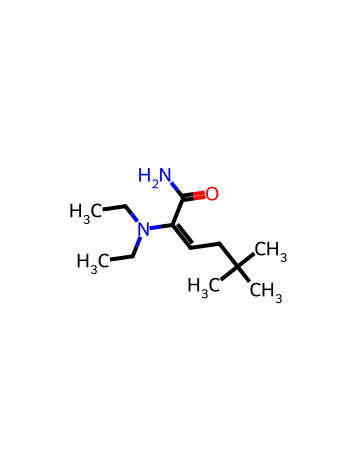 CCN(CC)/C(=C/CC(C)(C)C)C(N)=O